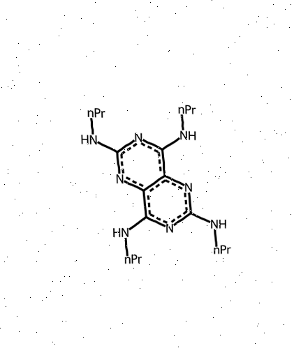 CCCNc1nc(NCCC)c2nc(NCCC)nc(NCCC)c2n1